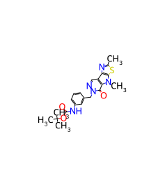 Cc1nc2c3cnn(Cc4cccc(NC(=O)OC(C)(C)C)c4)c(=O)c3n(C)c2s1